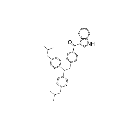 CC(C)Cc1ccc(C(Cc2ccc(C(=O)c3c[nH]c4ccccc34)cc2)c2ccc(CC(C)C)cc2)cc1